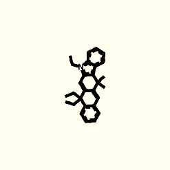 CCn1c2c(c3ccccc31)C(C)(C)C1=Cc3ccccc3C(CC)(CC)C1=C2